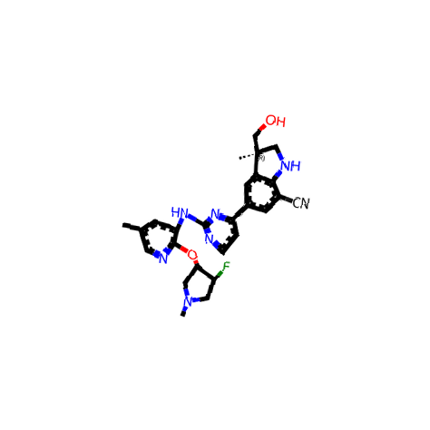 Cc1cnc(OC2CN(C)CC2F)c(Nc2nccc(-c3cc(C#N)c4c(c3)[C@@](C)(CO)CN4)n2)c1